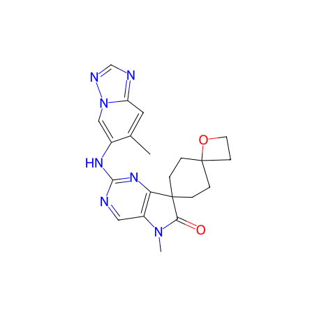 Cc1cc2ncnn2cc1Nc1ncc2c(n1)C1(CCC3(CCO3)CC1)C(=O)N2C